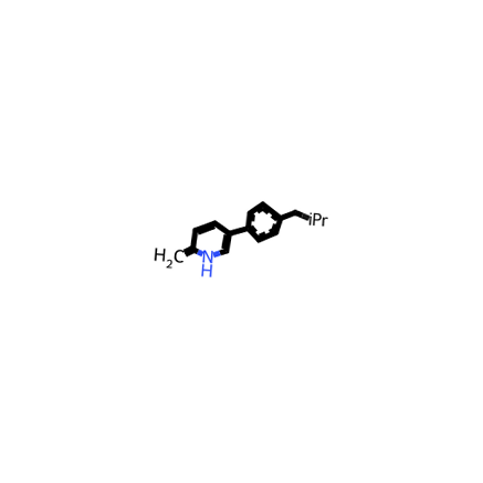 C=C1C=CC(c2ccc(CC(C)C)cc2)=CN1